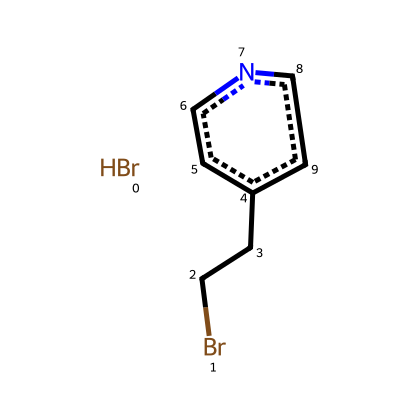 Br.BrCCc1ccncc1